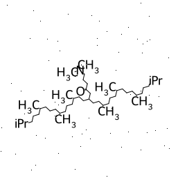 CC(C)CCCC(C)CCCC(C)CCCC(C)CCC(CCC(C)CCCC(C)CCCC(C)CCCC(C)C)CC(=O)CCCN(C)C